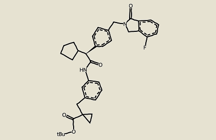 CC(C)(C)OC(=O)C1(Cc2cccc(NC(=O)[C@H](c3ccc(CN4Cc5c(F)cccc5C4=O)cc3)C3CCCC3)c2)CC1